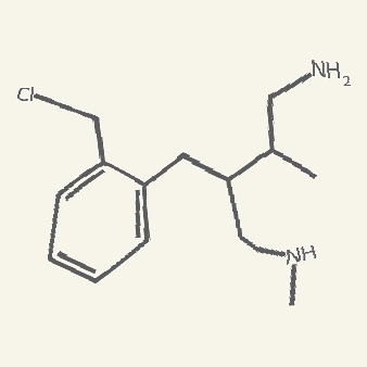 CNCC(Cc1ccccc1CCl)C(C)CN